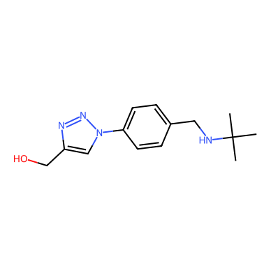 CC(C)(C)NCc1ccc(-n2cc(CO)nn2)cc1